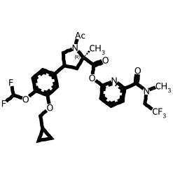 CC(=O)N1CC(c2ccc(OC(F)F)c(OCC3CC3)c2)C[C@]1(C)C(=O)Oc1cccc(C(=O)N(C)CC(F)(F)F)n1